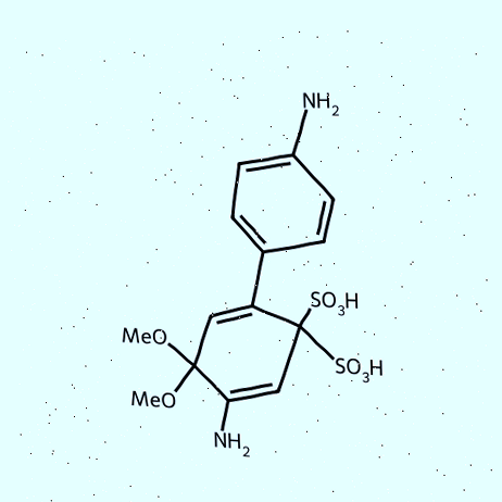 COC1(OC)C=C(c2ccc(N)cc2)C(S(=O)(=O)O)(S(=O)(=O)O)C=C1N